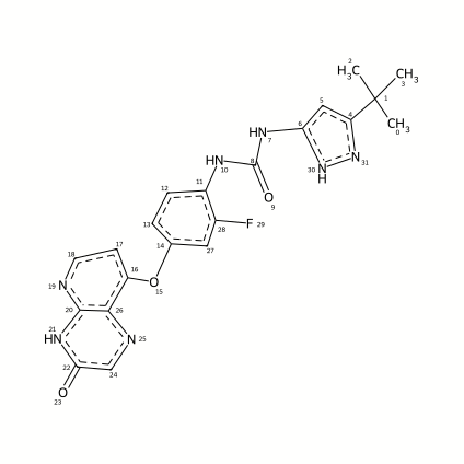 CC(C)(C)c1cc(NC(=O)Nc2ccc(Oc3ccnc4[nH]c(=O)cnc34)cc2F)[nH]n1